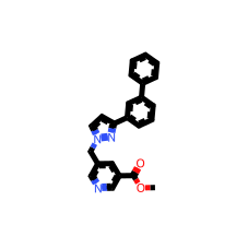 COC(=O)c1cncc(Cn2ccc(-c3cccc(-c4ccccc4)c3)n2)c1